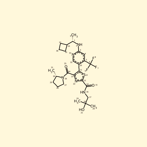 C[C@H](Nc1cc(C(F)(F)F)c(-c2sc(C(=O)NCC(C)(C)O)nc2C(=O)N2CCC[C@@H]2C)cn1)C1CCC1